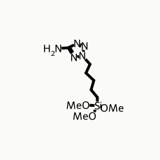 CO[Si](CCCCCn1nnc(N)n1)(OC)OC